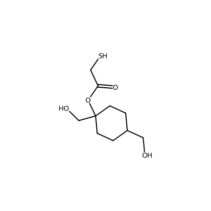 O=C(CS)OC1(CO)CCC(CO)CC1